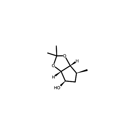 C[C@H]1C[C@@H](O)[C@@H]2OC(C)(C)O[C@@H]21